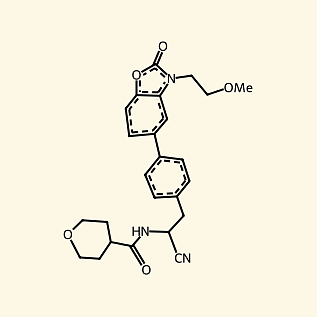 COCCn1c(=O)oc2ccc(-c3ccc(CC(C#N)NC(=O)C4CCOCC4)cc3)cc21